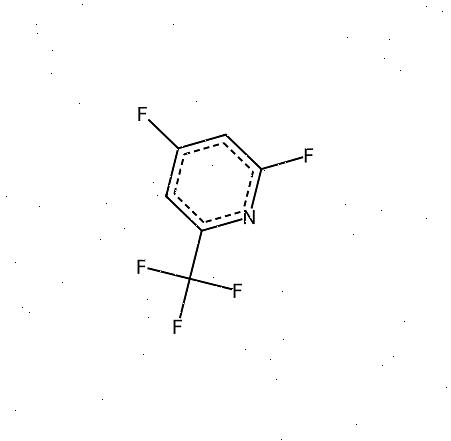 Fc1cc(F)nc(C(F)(F)F)c1